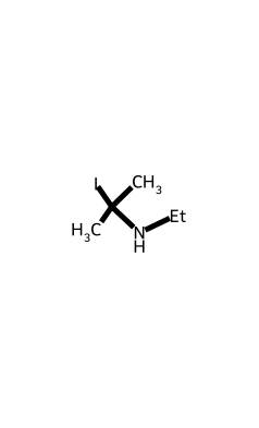 CCNC(C)(C)I